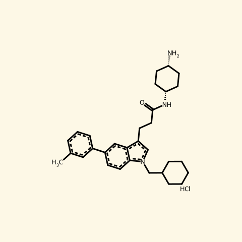 Cc1cccc(-c2ccc3c(c2)c(CCC(=O)N[C@H]2CC[C@@H](N)CC2)cn3CC2CCCCC2)c1.Cl